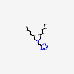 CCCCCCN(C=C1N=NN=N1)CCCCCC